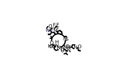 C=CC(=O)N1CC[C@H](C(=O)N(C)[C@H](C(=O)N[C@H]2Cc3nc(cs3)-c3ccc4c(c3)c(c(/C(C=C)=C(/N=C\C)[C@H](C)OC)n4CC(F)(F)F)CC(C)(C)COC(=O)[C@@]3(O)CCCN(N3)C2=O)C(C)C)C1